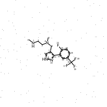 CNCCN(C)Cc1c[nH]nc1-c1cc(C(F)(F)F)ccc1F